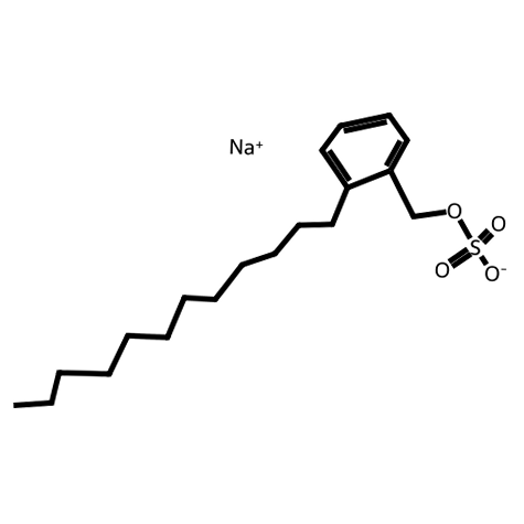 CCCCCCCCCCCCc1ccccc1COS(=O)(=O)[O-].[Na+]